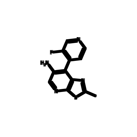 Cc1nc2c(-c3ccncc3F)c(N)cnc2s1